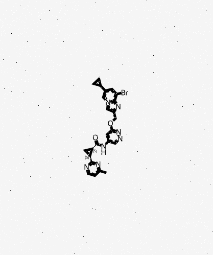 Cc1ccnc([C@H]2C[C@@H]2C(=O)Nc2cnnc(OCc3cn4cc(C5CC5)cc(Br)c4n3)c2)n1